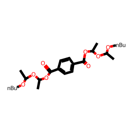 CCCCOC(C)OC(C)OC(=O)c1ccc(C(=O)OC(C)OC(C)OCCCC)cc1